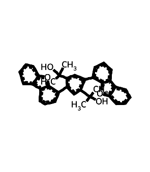 CC(C)(O)c1cc(-c2cccc3c2oc2ccccc23)c(C(C)(C)O)cc1-c1cccc2c1oc1ccccc12